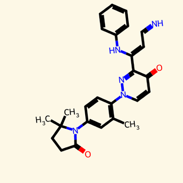 Cc1cc(N2C(=O)CCC2(C)C)ccc1-n1ccc(=O)c(/C(=C/C=N)Nc2ccccc2)n1